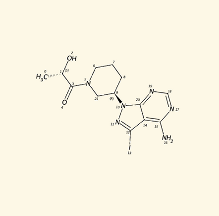 C[C@H](O)C(=O)N1CCC[C@@H](n2nc(I)c3c(N)ncnc32)C1